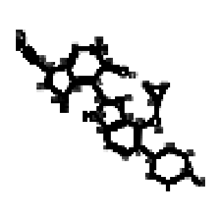 CN1CCC(c2ccc3[nH]c(-c4c(=O)[nH]cc5c(C#N)c[nH]c45)nc3c2OC2CC2)CC1